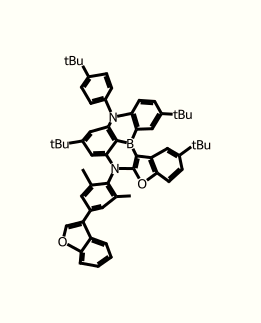 Cc1cc(-c2coc3ccccc23)cc(C)c1N1c2cc(C(C)(C)C)cc3c2B(c2cc(C(C)(C)C)ccc2N3c2ccc(C(C)(C)C)cc2)c2c1oc1ccc(C(C)(C)C)cc21